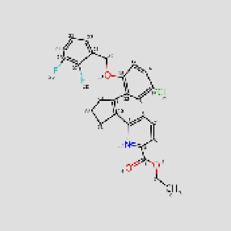 CCOC(=O)c1cccc(C2=C(c3cc(Cl)ccc3OCc3cccc(F)c3F)CCC2)n1